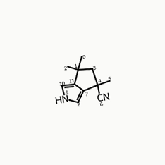 CC1(C)CC(C)(C#N)c2c[nH]cc21